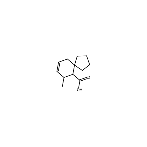 CC1C=CCC2(CCCC2)C1C(=O)O